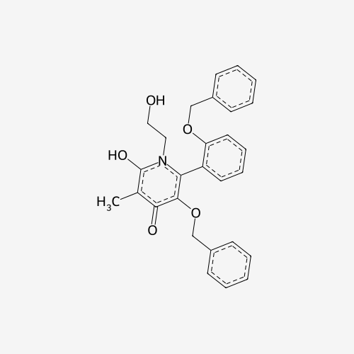 Cc1c(O)n(CCO)c(-c2ccccc2OCc2ccccc2)c(OCc2ccccc2)c1=O